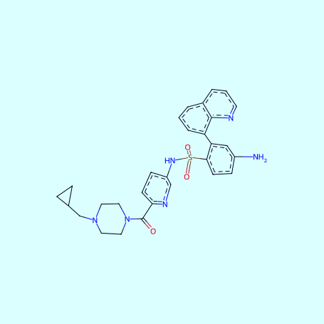 Nc1ccc(S(=O)(=O)Nc2ccc(C(=O)N3CCN(CC4CC4)CC3)nc2)c(-c2cccc3cccnc23)c1